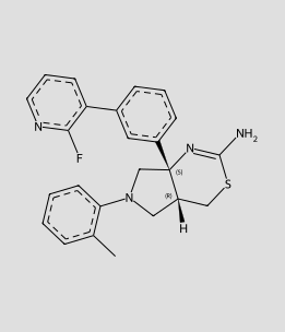 Cc1ccccc1N1C[C@H]2CSC(N)=N[C@@]2(c2cccc(-c3cccnc3F)c2)C1